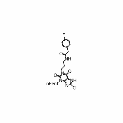 CCCCCn1c(=O)n(CCCNC(=O)Cc2ccc(F)cc2)c(=O)c2[nH]c(Cl)nc21